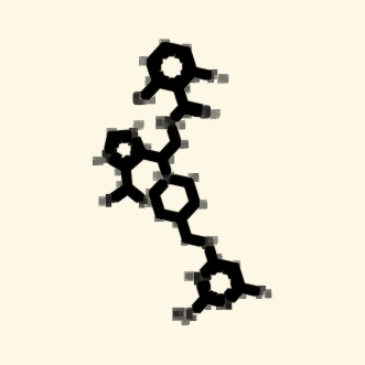 Cc1nc(F)cc(OCC2CCN(C(CNC(=O)c3c(F)cccc3Cl)c3scnc3C(F)F)CC2)n1